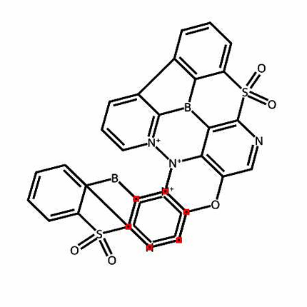 O=S1(=O)c2cccc3c2B2c4c1ncc1c4[N+]4(c5c(cnc6c5B5c7c(cccc7S6(=O)=O)-c6ccc[n+]4c65)O1)[n+]1cccc-3c12